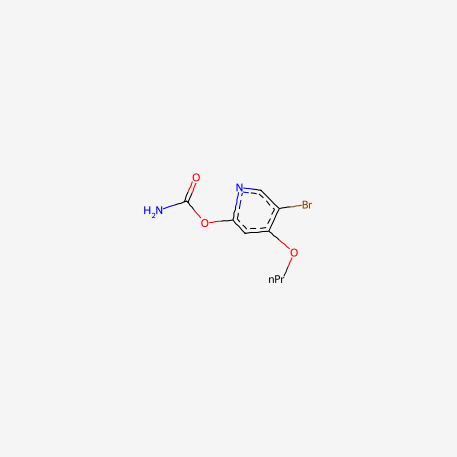 CCCOc1cc(OC(N)=O)ncc1Br